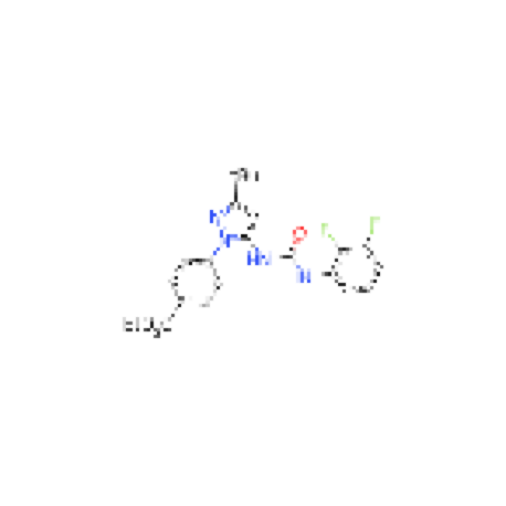 CCOC(=O)c1ccc(-n2nc(C(C)(C)C)cc2NC(=O)Nc2cccc(F)c2F)cc1